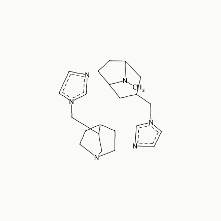 CN1C2CCC1CC(Cn1ccnc1)C2.c1cn(CC2CN3CCC2CC3)cn1